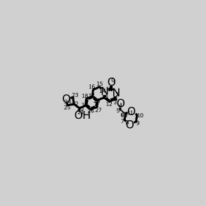 O=c1nc(OC[C@@H]2COCCO2)cc2n1CCc1cc(C(O)C3COC3)ccc1-2